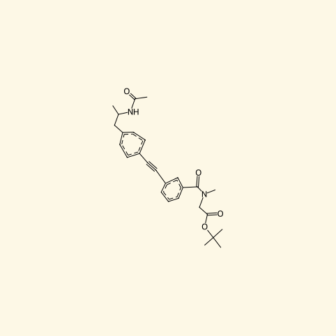 CC(=O)NC(C)Cc1ccc(C#Cc2cccc(C(=O)N(C)CC(=O)OC(C)(C)C)c2)cc1